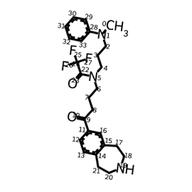 CN(CCCN(CCCC(=O)c1ccc2c(c1)CCNCC2)C(=O)C(F)(F)F)c1ccccc1